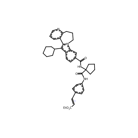 CCOC(=O)/C=C/c1ccc(NC(=O)C2(NC(=O)c3ccc4c(C5CCCCC5)c5n(c4c3)CCCc3ncccc3-5)CCCC2)cc1